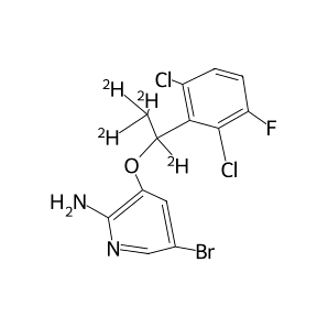 [2H]C([2H])([2H])C([2H])(Oc1cc(Br)cnc1N)c1c(Cl)ccc(F)c1Cl